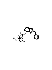 CC(C)(C)OC(=O)OC1CCC=C2CN(Cc3ccccc3)CC21